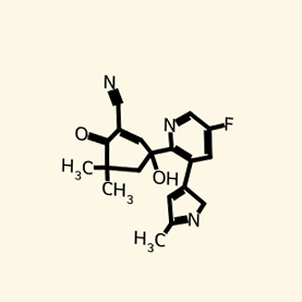 CC1=NCC(c2cc(F)cnc2C2(O)C=C(C#N)C(=O)C(C)(C)C2)=C1